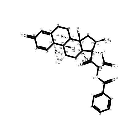 CCC(=O)O[C@@]1(C(=O)COC(=O)c2ccccc2)[C@H](C)C[C@H]2[C@@H]3CCC4=CC(=O)C=C[C@]4(C)[C@@]3(Cl)[C@@H](O)C[C@@]21C